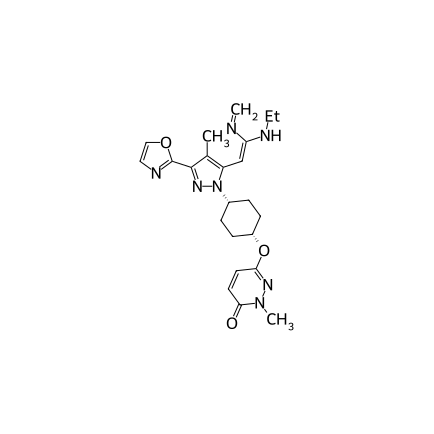 C=N/C(=C\c1c(C)c(-c2ncco2)nn1[C@H]1CC[C@@H](Oc2ccc(=O)n(C)n2)CC1)NCC